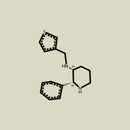 c1ccc([C@H]2NCCC[C@H]2NCc2ccsc2)cc1